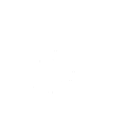 CC(C)CC(C(=O)O)C(C(=O)O)C(=O)OCc1ccccc1